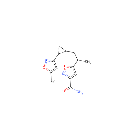 CC(C)c1cc(C2CC2CC(C)c2cc(C(N)=O)no2)no1